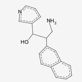 NCC(c1ccc2ccccc2c1)C(O)c1cccnc1